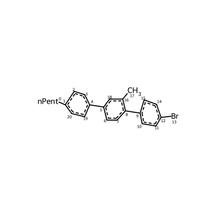 CCCCCc1ccc(-c2ccc(-c3ccc(Br)cc3)c(C)c2)cc1